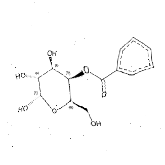 O=C(O[C@@H]1[C@H](O)[C@@H](O)[C@@H](O)O[C@@H]1CO)c1ccccc1